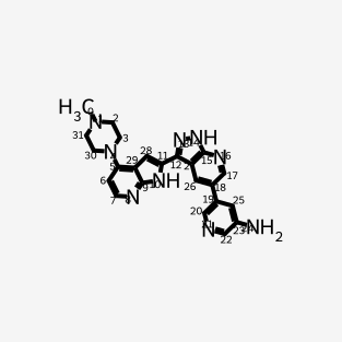 CN1CCN(c2ccnc3[nH]c(-c4n[nH]c5ncc(-c6cncc(N)c6)cc45)cc23)CC1